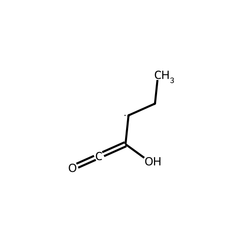 CC[CH]C(O)=C=O